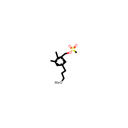 COCCCc1cc(C)c(C)c(COS(C)(=O)=O)c1